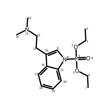 CCOP(=O)(OCC)n1cc(CCN(C)C)c2ccccc21